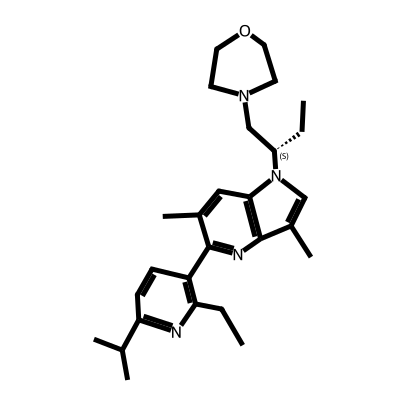 CCc1nc(C(C)C)ccc1-c1nc2c(C)cn([C@@H](CC)CN3CCOCC3)c2cc1C